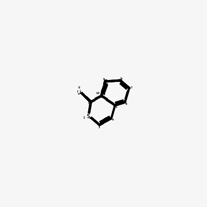 [Li][CH]1SC=Cc2ccccc21